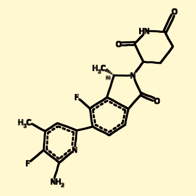 Cc1cc(-c2ccc3c(c2F)[C@H](C)N(C2CCC(=O)NC2=O)C3=O)nc(N)c1F